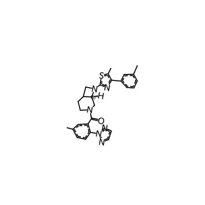 Cc1cccc(-c2nc(N3CC4CCN(C(=O)c5cc(C)ccc5-n5nccn5)C[C@H]43)sc2C)c1